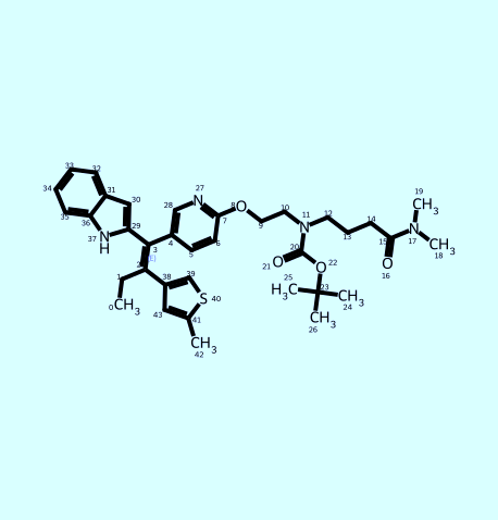 CC/C(=C(/c1ccc(OCCN(CCCC(=O)N(C)C)C(=O)OC(C)(C)C)nc1)c1cc2ccccc2[nH]1)c1csc(C)c1